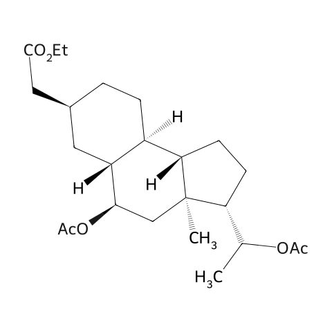 CCOC(=O)C[C@H]1CC[C@@H]2[C@@H](C1)[C@H](OC(C)=O)C[C@]1(C)[C@@H](C(C)OC(C)=O)CC[C@@H]21